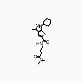 Cc1nn(C2CCCCC2)c2sc(C(=O)NCCCC(=O)N(C)C)cc12